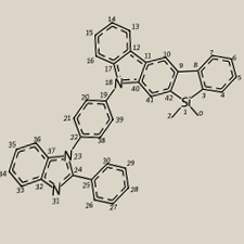 C[Si]1(C)c2ccccc2-c2cc3c4ccccc4n(-c4ccc(-n5c(-c6ccccc6)nc6ccccc65)cc4)c3cc21